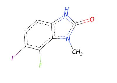 Cn1c(=O)[nH]c2ccc(I)c(F)c21